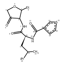 CCC1OCC(=O)C1NC(=O)[C@H](CC(C)C(C)C)NC(=O)c1ccsc1